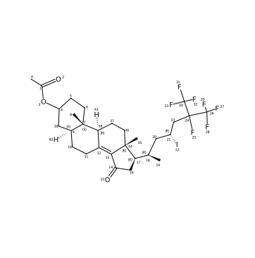 CC(=O)OC1CC[C@@]2(C)[C@@H](CCC3=C4C(=O)C[C@H]([C@H](C)C[C@@H](I)CC(F)(C(F)(F)F)C(F)(F)F)[C@@]4(C)CC[C@@H]32)C1